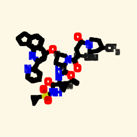 C=C[C@@H]1CC1(NC(=O)[C@@H]1C[C@@H](Oc2cc(-c3ccccn3)nc3c4c(ccc23)CCC4)CN1C(=O)[C@@H](CC(=O)N1CCC(C(F)(F)F)CC1)C(C)(C)C)C(=O)NS(=O)(=O)C1CC1